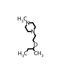 CCC(C)OCCN1CCN(C)CC1